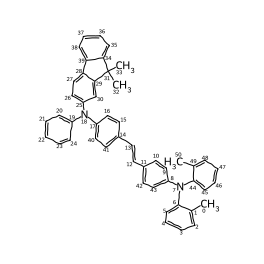 Cc1ccccc1N(c1ccc(/C=C/c2ccc(N(c3ccccc3)c3ccc4c(c3)C(C)(C)c3ccccc3-4)cc2)cc1)c1ccccc1C